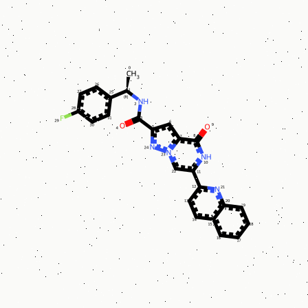 C[C@@H](NC(=O)c1cc2c(=O)[nH]c(-c3ccc4ccccc4n3)cn2n1)c1ccc(F)cc1